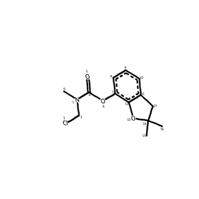 CN(CCl)C(=O)Oc1cccc2c1OC(C)(C)C2